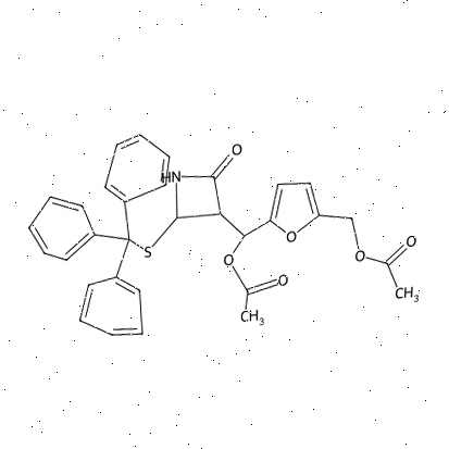 CC(=O)OCc1ccc(C(OC(C)=O)C2C(=O)NC2SC(c2ccccc2)(c2ccccc2)c2ccccc2)o1